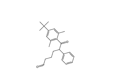 Cc1cc(C(C)(C)C)cc(C)c1C(=O)C(CCCP=O)c1ccccc1